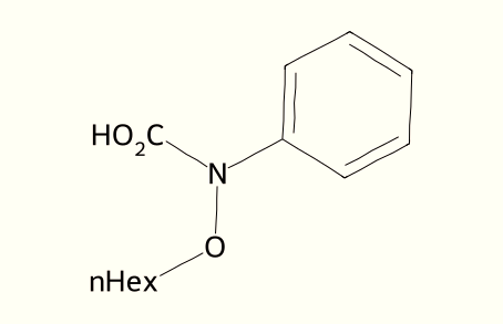 CCCCCCON(C(=O)O)c1ccccc1